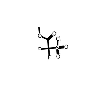 COC(=O)C(F)(F)S(=O)(=O)Cl